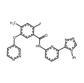 Cc1cc(F)c(C(=O)Nc2cccc(-c3nncn3C(C)C)n2)cc1Oc1ccnnc1